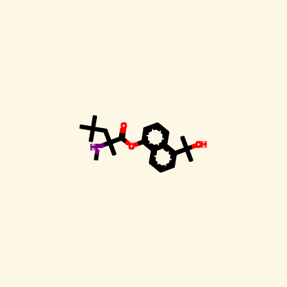 CPC(C)(CC(C)(C)C)C(=O)Oc1cccc2c(C(C)(C)O)cccc12